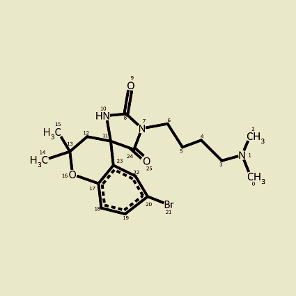 CN(C)CCCCN1C(=O)NC2(CC(C)(C)Oc3ccc(Br)cc32)C1=O